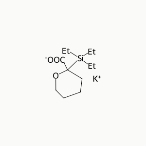 CC[Si](CC)(CC)C1(C(=O)[O-])CCCCO1.[K+]